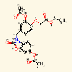 CCOC(=O)COc1ccc(Cn2c(=O)oc3cc(OC(C)=O)ccc32)cc1OC(C)=O